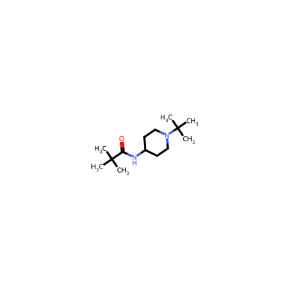 CC(C)(C)C(=O)NC1CCN(C(C)(C)C)CC1